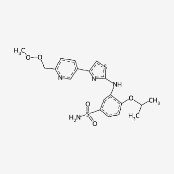 COOCc1ccc(-c2csc(Nc3cc(S(N)(=O)=O)ccc3OC(C)C)n2)cn1